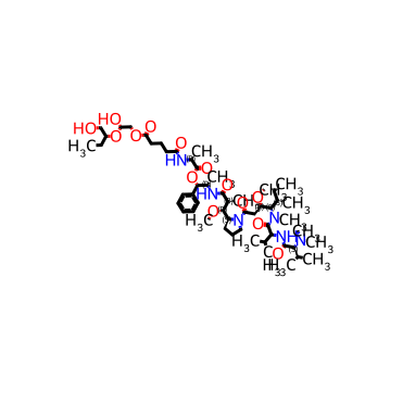 CCC(CO)OC(O)COC(=O)CCCC(=O)N[C@H](C)C(=O)OC(c1ccccc1)[C@@H](C)NC(=O)[C@H](C)[C@@H](OC)[C@@H]1CCCN1C(=O)C[C@@H](OC)[C@H]([C@@H](C)CC)N(C)C(=O)C(NC(=O)[C@H](C(C)C)N(C)C)C(C)C